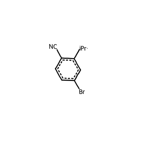 C[C](C)c1cc(Br)ccc1C#N